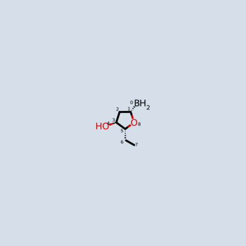 B[C@H]1C[C@H](O)[C@@H](CC)O1